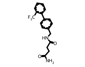 NC(=O)CCC(=O)NCc1ccc(-c2ccccc2C(F)(F)F)cc1